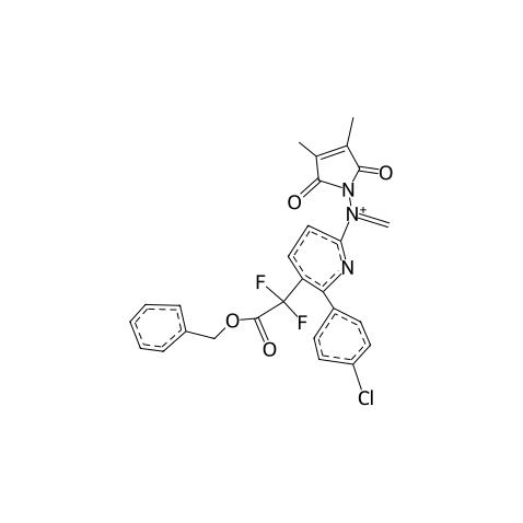 C=[N+](c1ccc(C(F)(F)C(=O)OCc2ccccc2)c(-c2ccc(Cl)cc2)n1)N1C(=O)C(C)=C(C)C1=O